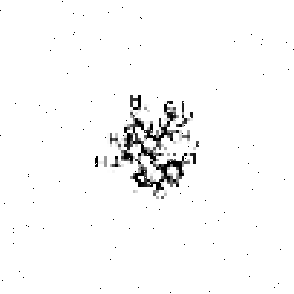 CC(=O)OCC(OC(Sc1cc(Cl)cnc1C(=O)N1CCC1)[C@H](CN)OC(C)=O)[C@@H](C)OC(C)=O